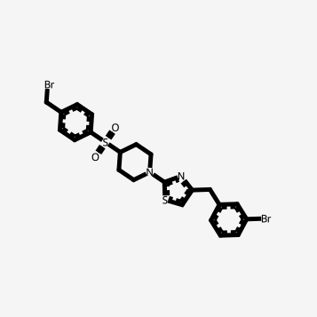 O=S(=O)(c1ccc(CBr)cc1)C1CCN(c2nc(Cc3cccc(Br)c3)cs2)CC1